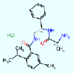 Cc1ccc(C(C)C)c(C(=O)NC[C@@H](NC(=O)[C@@H](C)N)c2ccccc2)c1.Cl